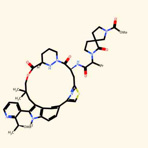 CCn1c(-c2cccnc2[C@H](C)OC)c2c3cc(ccc31)-c1csc(n1)C[C@H](NC(=O)C(C(C)C)N1CCC3(CCN(C(=O)OC)C3)C1=O)C(=O)N1CCC[C@H](N1)C(=O)OCC(C)(C)C2